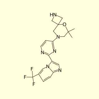 CC1(C)CN(c2ccnc(-c3cnc4ccc(C(F)(F)F)cn34)n2)CC2(CNC2)O1